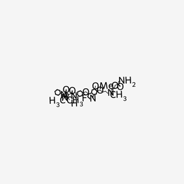 COc1cc2c(Oc3ccc(NC(=O)c4c(C)n(C)n(-c5ccccc5)c4=O)cc3F)ccnc2cc1OCCCN(C)CCOC(=O)CN